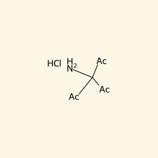 CC(=O)C(N)(C(C)=O)C(C)=O.Cl